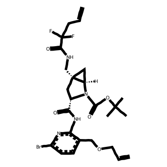 C=CCOCc1ccc(Br)nc1NC(=O)[C@@H]1C[C@@]2(CNC(=O)C(F)(F)CC=C)C[C@H]2N1C(=O)OC(C)(C)C